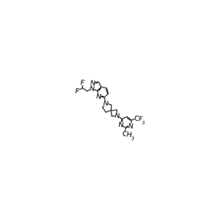 Cc1nc(N2CC3(CCN(c4ccc5cnn(CC(F)F)c5n4)C3)C2)cc(C(F)(F)F)n1